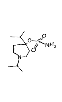 CC(C)N1CCC(OS(N)(=O)=O)(C(C)C)CC1